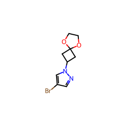 Brc1cnn(C2CC3(C2)OCCO3)c1